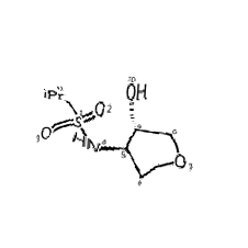 CC(C)S(=O)(=O)N[C@@H]1COC[C@H]1O